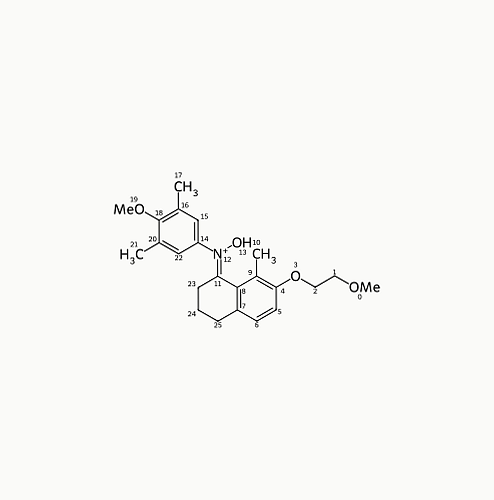 COCCOc1ccc2c(c1C)/C(=[N+](\O)c1cc(C)c(OC)c(C)c1)CCC2